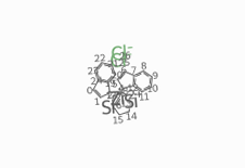 C1=C[CH]([Zr+2]2([CH]3C=Cc4ccccc43)=[Si]3CC[Si]=2CC3)c2ccccc21.[Cl-].[Cl-]